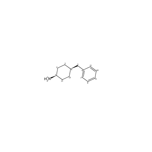 N[C@H]1CC[C@@H](Cc2ccccc2)CC1